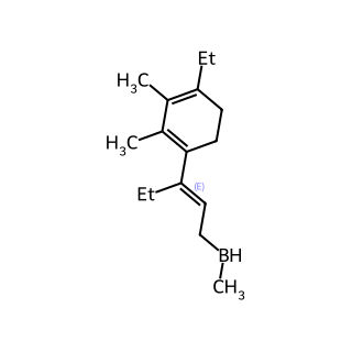 CBC/C=C(\CC)C1=C(C)C(C)=C(CC)CC1